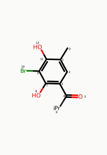 Cc1cc(C(=O)C(C)C)c(O)c(Br)c1O